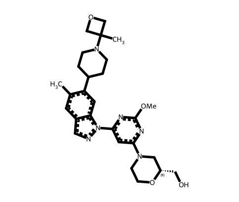 COc1nc(N2CCO[C@@H](CO)C2)cc(-n2ncc3cc(C)c(C4CCN(C5(C)COC5)CC4)cc32)n1